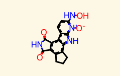 O=C1NC(=O)c2c1c1c(c3[nH]c4c(ccc(NO)[n+]4[O-])c23)CCC1